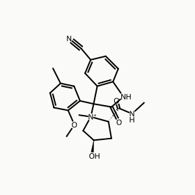 CNC(=O)[C@@H]1C[C@@H](O)C[N+]1(C)C1(c2cc(C)ccc2OC)C(=O)Nc2ccc(C#N)cc21